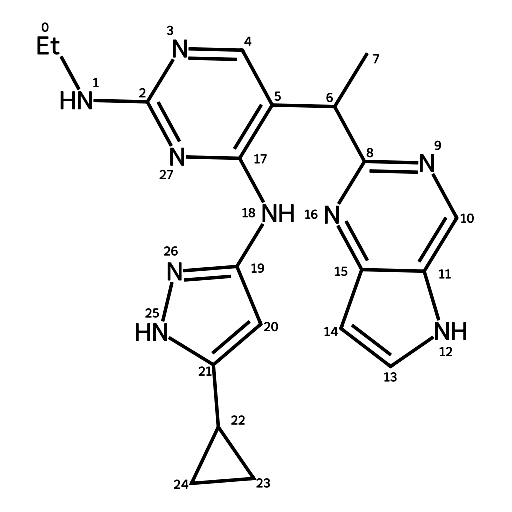 CCNc1ncc(C(C)c2ncc3[nH]ccc3n2)c(Nc2cc(C3CC3)[nH]n2)n1